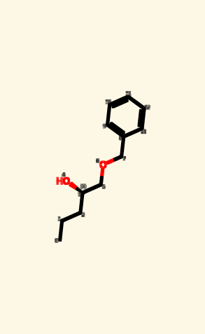 CCC[C@@H](O)COCc1ccccc1